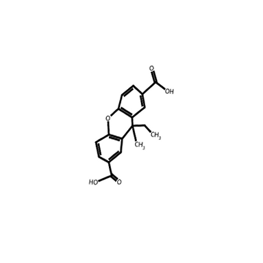 CCC1(C)c2cc(C(=O)O)ccc2Oc2ccc(C(=O)O)cc21